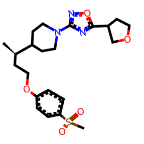 C[C@H](CCOc1ccc(S(C)(=O)=O)cc1)C1CCN(c2noc(C3CCOC3)n2)CC1